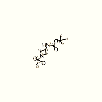 CC(C)(C)OC(=O)NC1CN(S(C)(=O)=O)C1